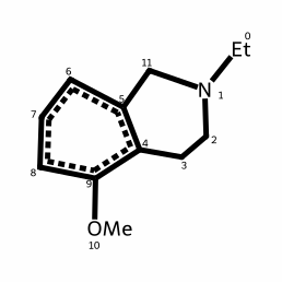 CCN1CCc2c(cccc2OC)C1